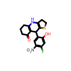 O=C1CCCC2=C1C(c1cc([N+](=O)[O-])c(F)cc1O)C1=C(CCS1)N2